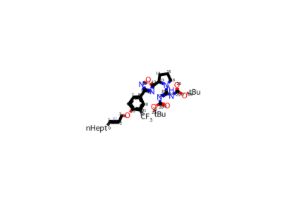 CCCCCCC/C=C/COc1ccc(-c2noc(C3CCCN3C(=NC(=O)OC(C)(C)C)NC(=O)OC(C)(C)C)n2)cc1C(F)(F)F